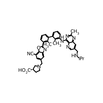 Cc1nc(Nc2cccc(-c3cccc(-c4nc5cc(CN6CC[C@@H](C(=O)O)C6)cc(C#N)c5o4)c3C)c2C)c2ncc(CNC(C)C)cc2n1